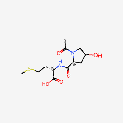 CSCC[C@H](NC(=O)[C@@H]1CC(O)CN1C(C)=O)C(=O)O